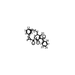 CC(C)CC1CN(C(=O)C2CC2c2ccccc2)C(=O)C2=C1COC2c1ccccc1